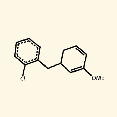 COC1=CC(Cc2ccccc2Cl)CC=C1